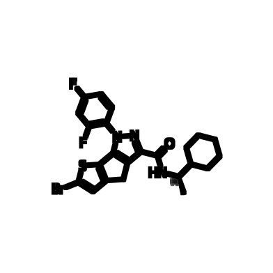 C[C@@H](NC(=O)c1nn(-c2ccc(F)cc2F)c2c1Cc1cc(Br)sc1-2)C1CCCCC1